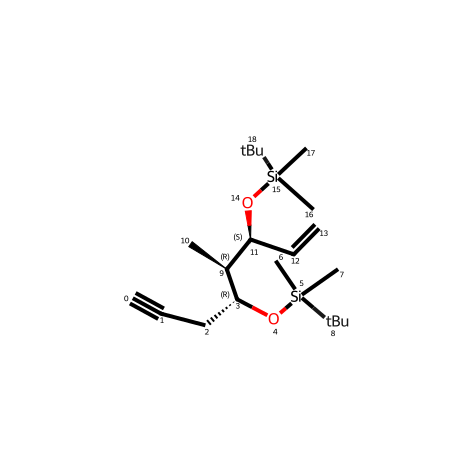 C#CC[C@@H](O[Si](C)(C)C(C)(C)C)[C@@H](C)[C@H](C=C)O[Si](C)(C)C(C)(C)C